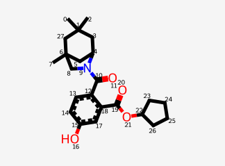 CC1(C)CC2CC(C)(CN2C(=O)c2ccc(O)cc2C(=O)OC2CCCC2)C1